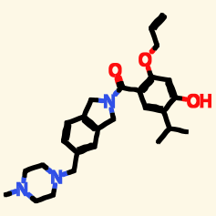 C=CCOc1cc(O)c(C(C)C)cc1C(=O)N1Cc2ccc(CN3CCN(C)CC3)cc2C1